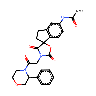 CNC(=O)Nc1ccc2c(c1)CCC21OC(=O)N(CC(=O)N2CCOC[C@@H]2c2ccccc2)C1=O